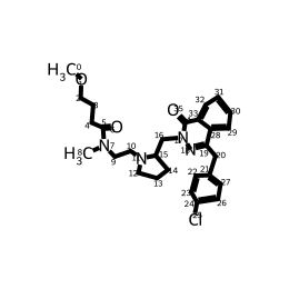 COCCCC(=O)N(C)CCN1CCCC1Cn1nc(Cc2ccc(Cl)cc2)c2ccccc2c1=O